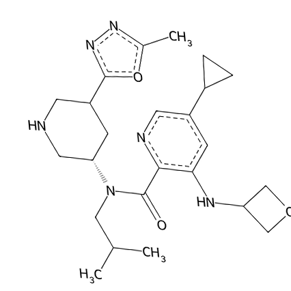 Cc1nnc(C2CNC[C@@H](N(CC(C)C)C(=O)c3ncc(C4CC4)cc3NC3COC3)C2)o1